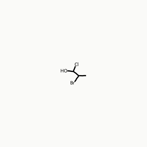 CC(Br)C(O)Cl